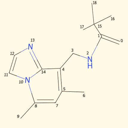 C=C(NCc1c(C)cc(C)n2ccnc12)C(C)(C)C